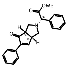 COC(=O)[C@H](c1ccccc1)N1C[C@@H]2C=C(c3ccccc3)C(=O)[C@@H]2C1